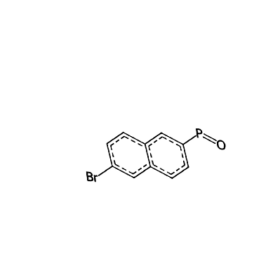 O=Pc1ccc2cc(Br)ccc2c1